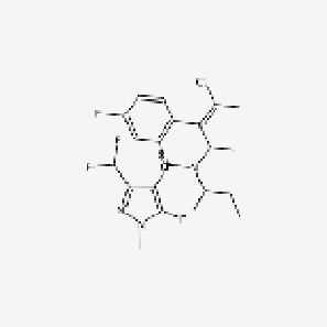 CCC(C)N(C(=O)c1c(C(F)F)nn(C)c1F)C(C)/C(=C(\C)Cl)c1ccc(F)cc1Cl